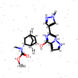 CN(C(=O)OC(C)(C)C)[C@@H]1C[C@@H]2C[C@H]1[C@@H](Oc1nc(-c3cnn(C)c3)cn3nccc13)C2